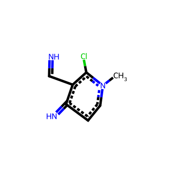 Cn1ccc(=N)c(C=N)c1Cl